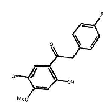 CCc1cc(C(=O)Cc2ccc(F)cc2)c(O)cc1OC